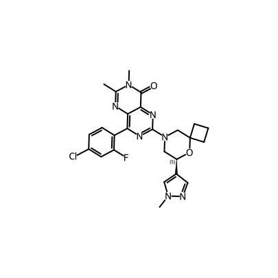 Cc1nc2c(-c3ccc(Cl)cc3F)nc(N3C[C@H](c4cnn(C)c4)OC4(CCC4)C3)nc2c(=O)n1C